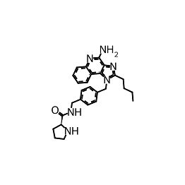 CCCCc1nc2c(N)nc3ccccc3c2n1Cc1ccc(CNC(=O)[C@@H]2CCCN2)cc1